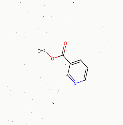 O=[C]OC(=O)c1cccnc1